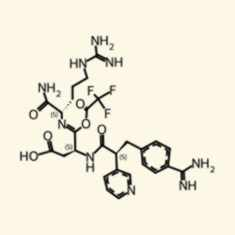 N=C(N)NCCC[C@H](N=C(OC(=O)C(F)(F)F)[C@H](CC(=O)O)NC(=O)[C@@H](Cc1ccc(C(=N)N)cc1)c1cccnc1)C(N)=O